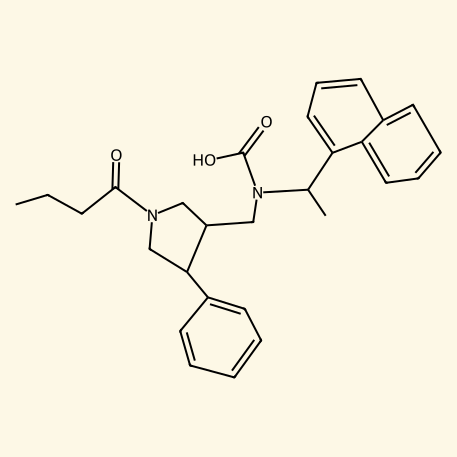 CCCC(=O)N1CC(CN(C(=O)O)C(C)c2cccc3ccccc23)C(c2ccccc2)C1